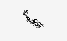 CN(c1nc(Nc2ccc(-c3cnco3)cc2)nc2c1CN(CC=O)CC2)[C@@H]1CCCO1